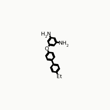 CCc1ccc(-c2ccc(Oc3cc(N)cc(N)c3)cc2)cc1